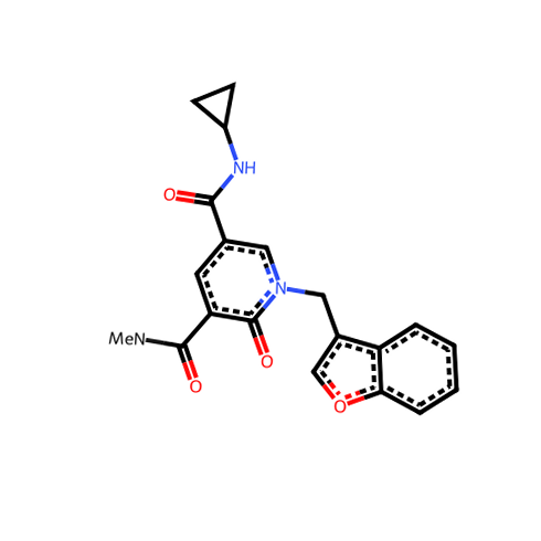 CNC(=O)c1cc(C(=O)NC2CC2)cn(Cc2coc3ccccc23)c1=O